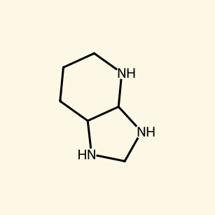 C1CNC2NCNC2C1